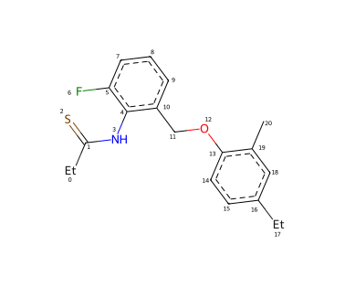 CCC(=S)Nc1c(F)cccc1COc1ccc(CC)cc1C